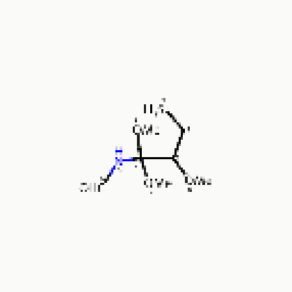 COC(C[SiH3])C(NC=O)(OC)OC